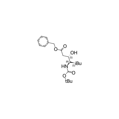 CC[C@H](C)[C@@H](NC(=O)OC(C)(C)C)[C@@H](O)CC(=O)OCc1ccccc1